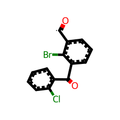 O=[C]c1cccc(C(=O)c2ccccc2Cl)c1Br